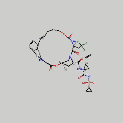 C=C[C@@H]1C[C@]1(NC(=O)[C@@H]1C[C@@H]2CN1C(=O)[C@H](CC(F)(F)F)NC(=O)OCCC/C=C/c1cccc3c1CNC(C3)C(=O)O2)C(=O)NS(=O)(=O)C1CC1